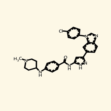 CN1CCC(Nc2ccc(C(=O)Nc3cc(-c4ccc5ncn(-c6ccc(Cl)cc6)c5c4)n[nH]3)cc2)CC1